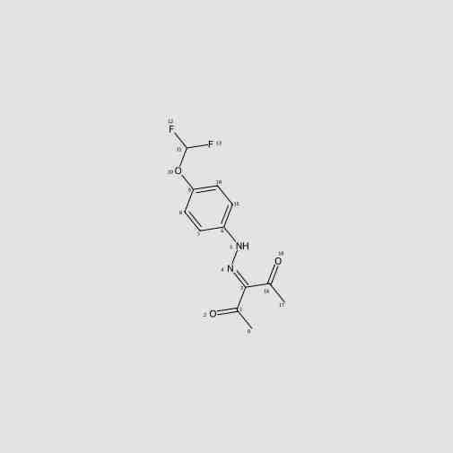 CC(=O)C(=NNc1ccc(OC(F)F)cc1)C(C)=O